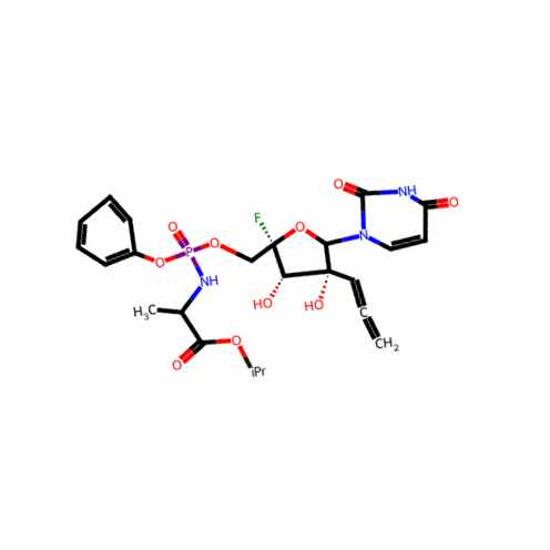 C=C=C[C@]1(O)C(n2ccc(=O)[nH]c2=O)O[C@](F)(COP(=O)(NC(C)C(=O)OC(C)C)Oc2ccccc2)[C@H]1O